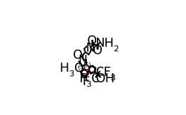 C[C@]1(c2ccc(F)cc2)CN(C(=O)C2CCN(C(=O)C(N)=O)CC2)C[C@H]1c1ccc(C(O)(C(F)(F)F)C(F)(F)F)cc1